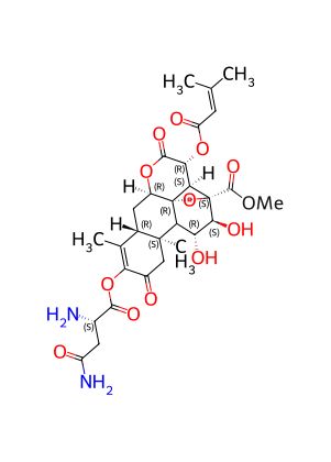 COC(=O)[C@@]12OC[C@]34C([C@@H](O)[C@@H]1O)[C@@]1(C)CC(=O)C(OC(=O)[C@@H](N)CC(N)=O)=C(C)[C@@H]1C[C@H]3OC(=O)[C@H](OC(=O)C=C(C)C)[C@@H]24